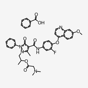 COc1ccc2c(Oc3ccc(NC(=O)c4c(C)n(CC(C)OC(=O)CN(C)C)n(-c5ccccc5)c4=O)cc3F)ccnc2c1.O=C(O)c1ccccc1